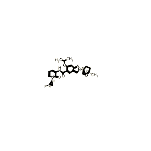 CC(C)Oc1cc2nn([C@]34CC[C@](C)(C3)OC4)cc2cc1C(=O)Nc1cccn([C@H]2C[C@H]2F)c1=O